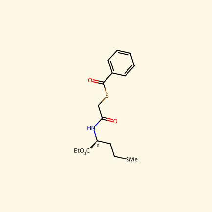 CCOC(=O)[C@H](CCSC)NC(=O)CSC(=O)c1ccccc1